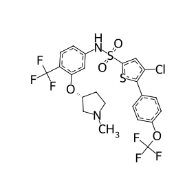 CN1CC[C@@H](Oc2cc(NS(=O)(=O)c3cc(Cl)c(-c4ccc(OC(F)(F)F)cc4)s3)ccc2C(F)(F)F)C1